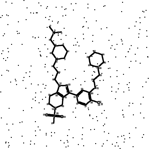 CN(C)CC1CCCN(CCCn2nc(-c3ccc(C(F)(F)F)c(SCCN4CCCCC4)c3)c3c2CCN(S(C)(=O)=O)C3)C1